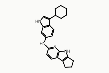 c1cc2c(C3CCCCC3)c[nH]c2cc1Nc1ccc2c3c([nH]c2n1)CCC3